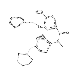 CN(C(=O)c1ccc(Cl)c(OCc2ccccc2)c1)c1ccc(CN2CCCCC2)cc1